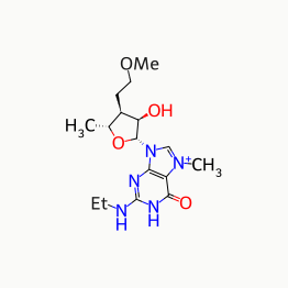 CCNc1nc2c(c(=O)[nH]1)[n+](C)cn2[C@@H]1O[C@H](C)[C@@H](CCOC)[C@H]1O